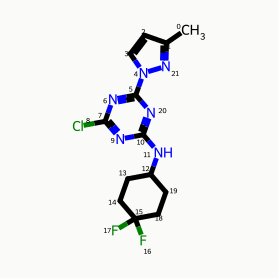 Cc1ccn(-c2nc(Cl)nc(NC3CCC(F)(F)CC3)n2)n1